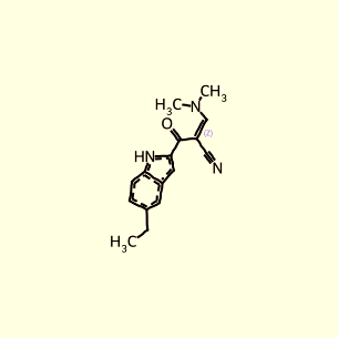 CCc1ccc2[nH]c(C(=O)/C(C#N)=C\N(C)C)cc2c1